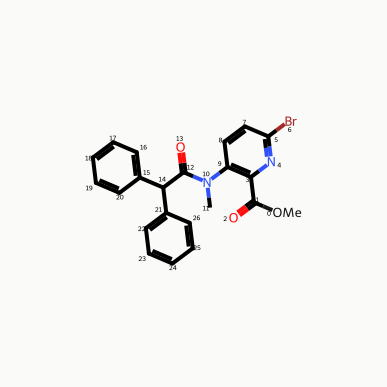 COC(=O)c1nc(Br)ccc1N(C)C(=O)C(c1ccccc1)c1ccccc1